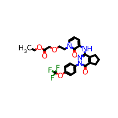 CCOC(=O)COCCn1cccc(Nc2nn(-c3ccc(OC(F)(F)F)cc3)c(=O)c3c2CCC3)c1=O